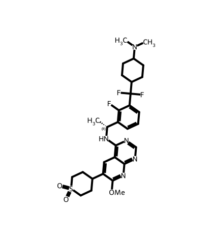 COc1nc2ncnc(N[C@H](C)c3cccc(C(F)(F)C4CCC(N(C)C)CC4)c3F)c2cc1C1CCS(=O)(=O)CC1